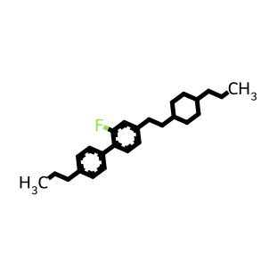 CCCc1ccc(-c2ccc(CCC3CCC(CCC)CC3)cc2F)cc1